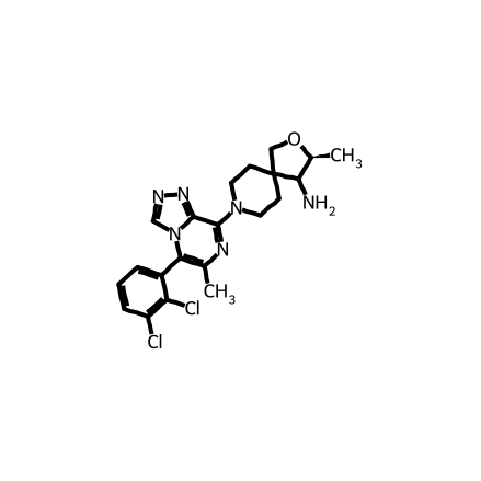 Cc1nc(N2CCC3(CC2)CO[C@@H](C)C3N)c2nncn2c1-c1cccc(Cl)c1Cl